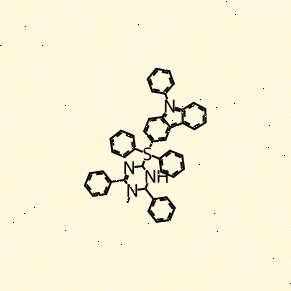 CN1C(c2ccccc2)=NC(S(c2ccccc2)(c2ccccc2)c2ccc3c(c2)c2ccccc2n3-c2ccccc2)NC1c1ccccc1